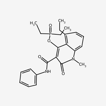 CCc1cccc2c1c(OP(=O)(CC)CC)c(C(=O)Nc1ccccc1)c(=O)n2C